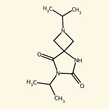 CC(C)N1CC2(C1)NC(=O)N(C(C)C)C2=O